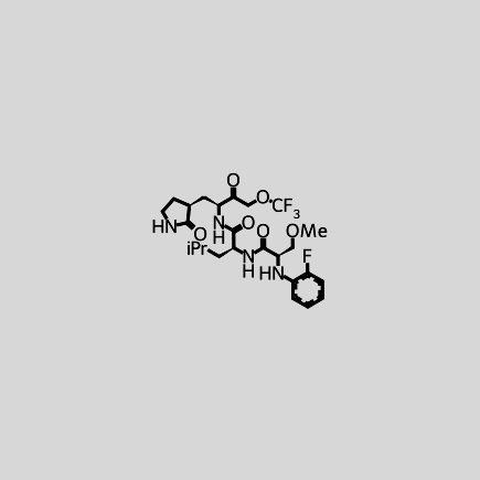 COC[C@@H](Nc1ccccc1F)C(=O)N[C@@H](CC(C)C)C(=O)N[C@@H](C[C@@H]1CCNC1=O)C(=O)COC(F)(F)F